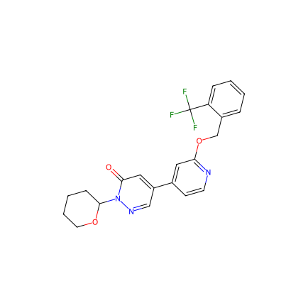 O=c1cc(-c2ccnc(OCc3ccccc3C(F)(F)F)c2)cnn1C1CCCCO1